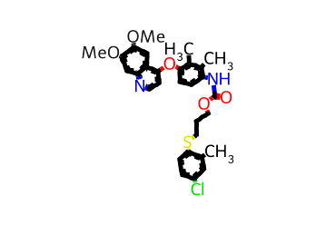 COc1cc2nccc(Oc3ccc(NC(=O)OCCCSc4ccc(Cl)cc4C)c(C)c3C)c2cc1OC